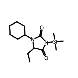 CCC1C(=O)N([Si](C)(C)C)C(=O)N1C1CCCCC1